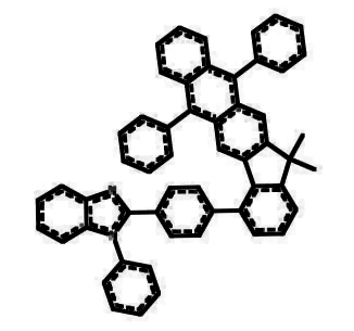 CC1(C)c2cc3c(-c4ccccc4)c4ccccc4c(-c4ccccc4)c3cc2-c2c(-c3ccc(-c4nc5ccccc5n4-c4ccccc4)cc3)cccc21